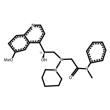 COc1ccc2nccc([C@H](O)CN(CC(=O)N(C)c3ccccc3)N3CCCCC3)c2c1